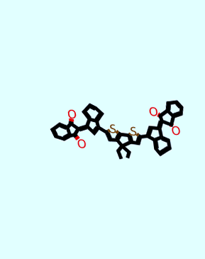 CCC1(CC)c2cc(C3=CC(=C4C(=O)c5ccccc5C4=O)c4ccccc43)sc2-c2sc(C3=CC(=C4C(=O)c5ccccc5C4=O)c4ccccc43)cc21